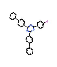 Ic1ccc(-c2nc(-c3ccc(-c4ccccc4)cc3)nc(-c3ccc(-c4ccccc4)cc3)n2)cc1